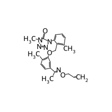 C=CCON=C(C)c1ccc(C)c(OCc2c(C)cccc2-n2nnn(C)c2=O)c1